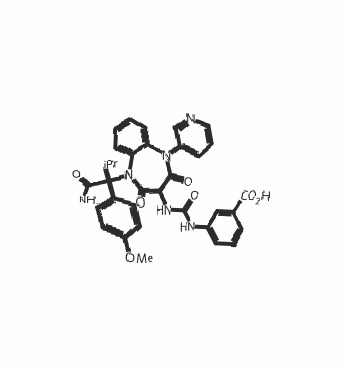 COc1ccc(C(C(N)=O)(C(C)C)N2C(=O)C(NC(=O)Nc3cccc(C(=O)O)c3)C(=O)N(c3cccnc3)c3ccccc32)cc1